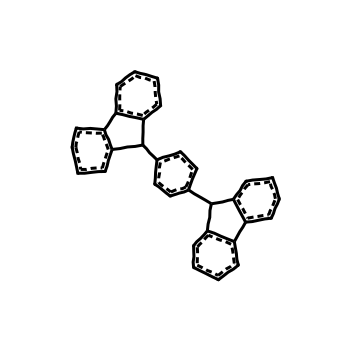 c1ccc2c(c1)-c1ccccc1C2c1ccc(C2c3ccccc3-c3ccccc32)cc1